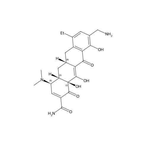 CCc1cc(CN)c(O)c2c1C[C@H]1C[C@H]3[C@H](N(C)C)C=C(C(N)=O)C(=O)[C@@]3(O)C(O)=C1C2=O